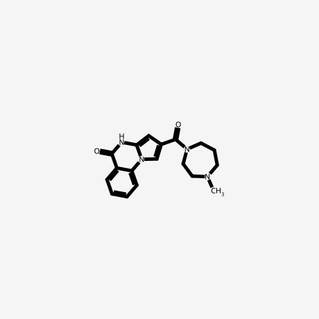 CN1CCCN(C(=O)c2cc3[nH]c(=O)c4ccccc4n3c2)CC1